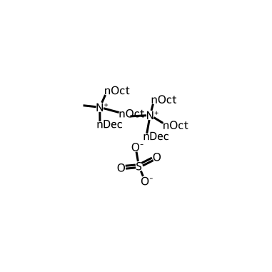 CCCCCCCCCC[N+](C)(CCCCCCCC)CCCCCCCC.CCCCCCCCCC[N+](C)(CCCCCCCC)CCCCCCCC.O=S(=O)([O-])[O-]